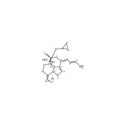 C=C1CC[C@@]2(O)[C@H]3C/C(=C/C=C/O)C4=CO[C@@H]1[C@]42CCN3CC1CC1